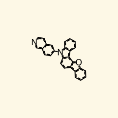 c1ccc2c(c1)oc1c2ccc2c1c1ccccc1n2-c1ccc2cnccc2c1